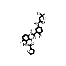 CC(Cl)(Cl)CC(=O)Nc1ccc(Cl)c(C(=O)Nc2ccc(F)c(NC(=O)C3CCCO3)c2F)c1